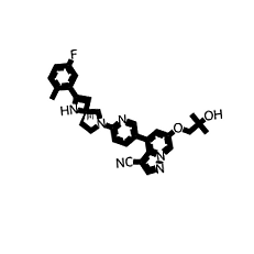 Cc1ccc(F)cc1C1=C[C@@]2(CCN(c3ccc(-c4cc(OCC(C)(C)O)cn5ncc(C#N)c45)cn3)C2)N1